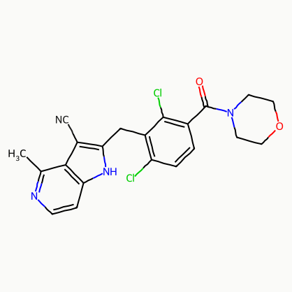 Cc1nccc2[nH]c(Cc3c(Cl)ccc(C(=O)N4CCOCC4)c3Cl)c(C#N)c12